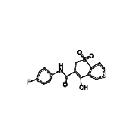 O=C(Nc1ccc(F)cc1)C1=C(O)c2ccccc2S(=O)(=O)C1